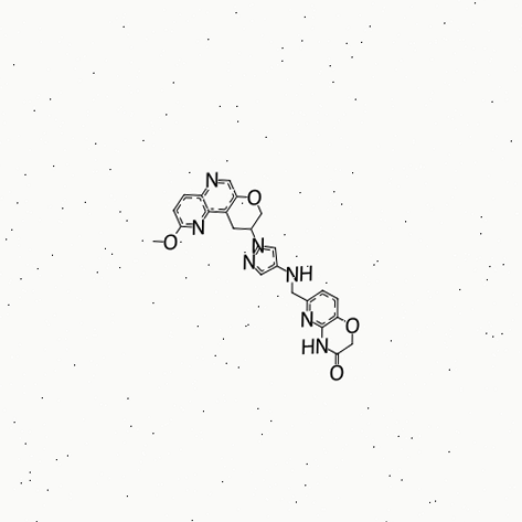 COc1ccc2ncc3c(c2n1)CC(n1cc(NCc2ccc4c(n2)NC(=O)CO4)cn1)CO3